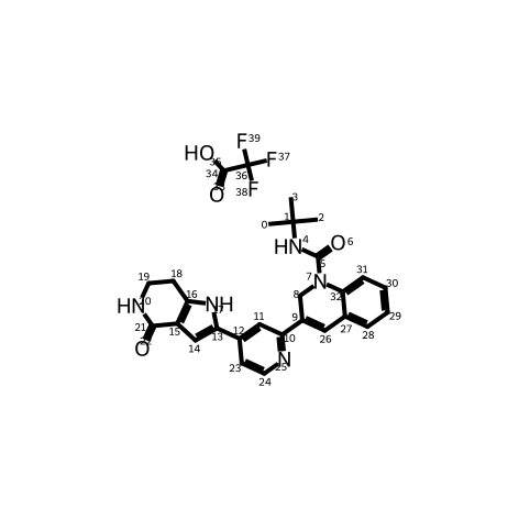 CC(C)(C)NC(=O)N1CC(c2cc(-c3cc4c([nH]3)CCNC4=O)ccn2)=Cc2ccccc21.O=C(O)C(F)(F)F